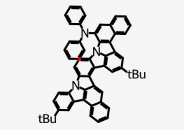 CC(C)(C)c1ccc2c(c1)c1c3ccccc3cc3c4c5c6cc(C(C)(C)C)cc7c8c9ccccc9cc(N(c9ccccc9)c9ccccc9)c8n(c5ccc4n2c31)c67